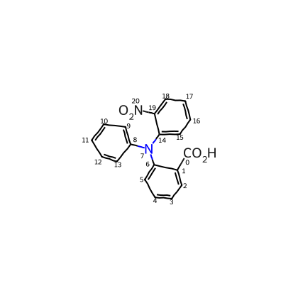 O=C(O)c1ccccc1N(c1ccccc1)c1ccccc1[N+](=O)[O-]